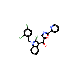 O=C(c1cnc(-c2ccccn2)o1)c1c(Cl)n(Cc2ccc(Cl)cc2Cl)c2ccccc12